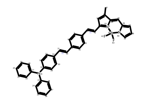 CC1=CC(/C=C/c2ccc(/C=C/c3ccc(N(c4ccccc4)c4ccccc4)cc3)cc2)=[N+]2C1=Cc1cccn1[B-]2(F)F